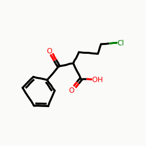 O=C(O)C(CCCCl)C(=O)c1ccccc1